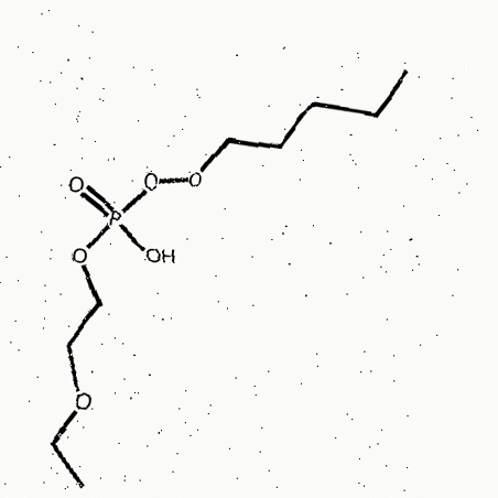 CCCCCOOP(=O)(O)OCCOCC